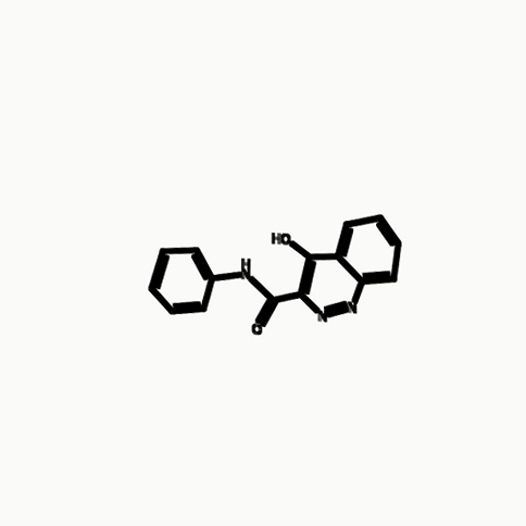 O=C(Nc1ccccc1)c1nnc2ccccc2c1O